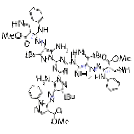 COC(=O)\C(C=N)=C(/N=N/C(C(=N)C(C)(C)C)=C(\N)Nc1nc(-n2nc(C(C)(C)C)c(/N=N/C(Nc3ccccc3)=C(/C=N)C(=O)OC)c2N)nc(-n2nc(C(C)(C)C)c(/N=N/c3c(C(=O)OC)cnn3-c3ccccc3)c2N)n1)Nc1ccccc1